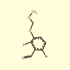 COCOc1ccc(Br)c(C=O)c1F